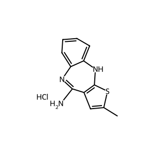 Cc1cc2c(s1)Nc1ccccc1N=C2N.Cl